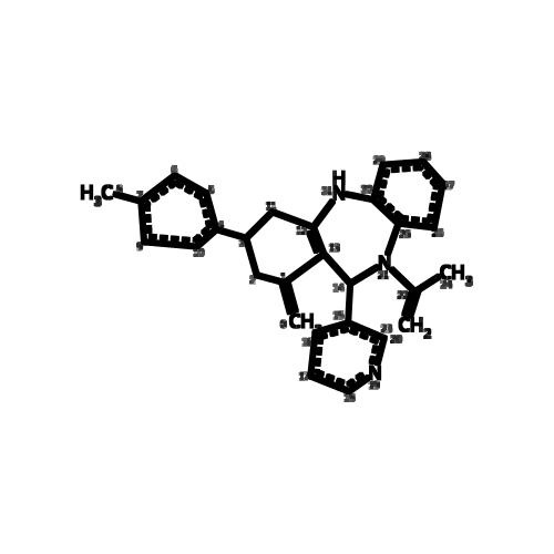 C=C1CC(c2ccc(C)cc2)CC2=C1C(c1cccnc1)N(C(=C)C)c1ccccc1N2